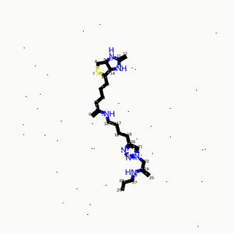 C=C(CCCCC1SCC2NC(=C)NC21)NCCCCc1cn(CC(=C)NCCC)nn1